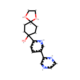 OC1(c2ccc(-c3cnccn3)cn2)CCC2(CC1)OCCO2